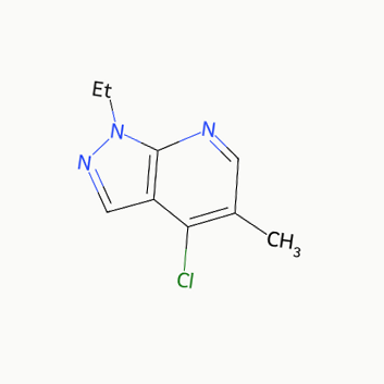 CCn1ncc2c(Cl)c(C)cnc21